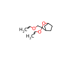 C=COCC1(OC=C)OC2CCC1C2